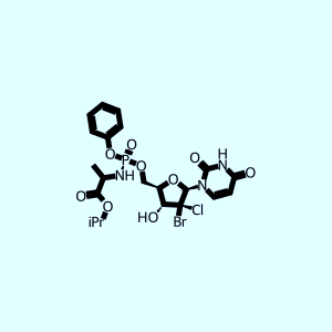 CC(C)OC(=O)C(C)N[P@](=O)(OC[C@H]1O[C@@H](n2ccc(=O)[nH]c2=O)[C@](Cl)(Br)[C@@H]1O)Oc1ccccc1